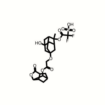 CC1(OC(=O)C(F)(F)S(=O)(=O)O)C2CC3(O)CC1CC(OCC(=O)OC1C4CC5C(=O)OC1C5C4)(C2)C3